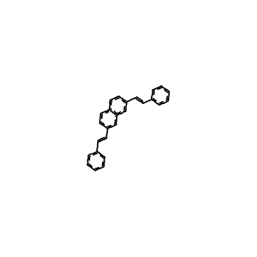 C(=Cc1ccc2ccc(C=Cc3ccccc3)cc2c1)c1ccccc1